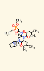 CCOP(=O)(CC(=O)N1O[C@H](CC(C)C)C(=O)N2[C@@H]1CN(C1CC3CCC(C1)N3C)C(=O)[C@@H]2CC(C)C)OCC